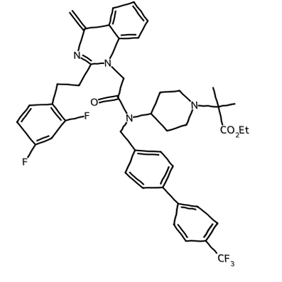 C=C1N=C(CCc2ccc(F)cc2F)N(CC(=O)N(Cc2ccc(-c3ccc(C(F)(F)F)cc3)cc2)C2CCN(C(C)(C)C(=O)OCC)CC2)c2ccccc21